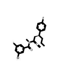 C=C=C(C[C@H](CCC)c1ccc(F)cc1)N(C)C(=O)c1cc(Br)cc(I)c1